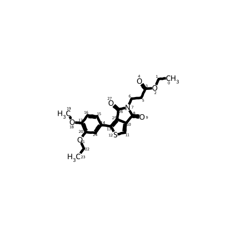 CCOC(=O)CCN1C(=O)c2csc(-c3ccc(OC)c(OCC)c3)c2C1=O